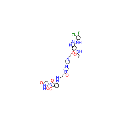 C=CC(=O)Nc1cc2c(Nc3ccc(F)c(Cl)c3)ncnc2cc1OCCCN1CCC(N2CCN(C(=O)CCCCNc3cccc4c3C(=O)N(C3CCC(=O)NC3=O)C4=O)CC2)CC1